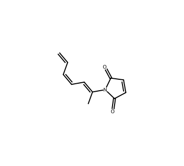 C=C/C=C\C=C(/C)N1C(=O)C=CC1=O